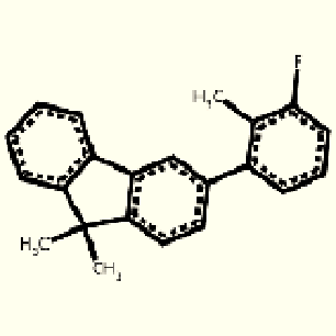 Cc1c(F)cccc1-c1ccc2c(c1)-c1ccccc1C2(C)C